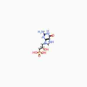 Nc1nc2c(c(=O)[nH]1)NCN2C[C@@H](O)CP(=O)(O)O